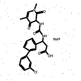 CC1=CN(C)C(=O)C(NC(=O)NC(CC(=O)O)c2cccc(-c3cccc(Cl)c3)c2)C1=O.[NaH]